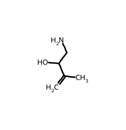 C=C(C)C(O)CN